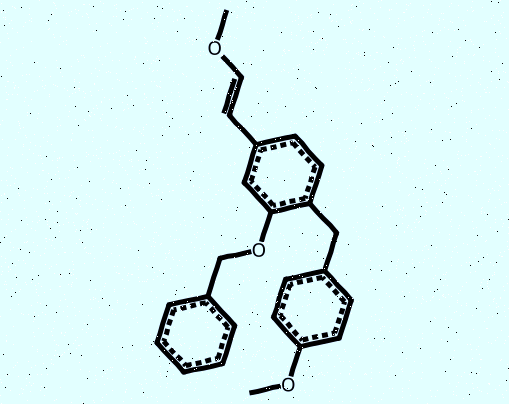 CO/C=C/c1ccc(Cc2ccc(OC)cc2)c(OCc2ccccc2)c1